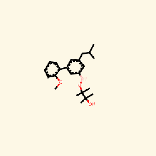 COc1ccccc1-c1cc(BOC(C)(C)C(C)(C)O)cc(CC(C)C)c1